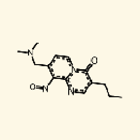 CCCc1cnc2c(N=O)c(CN(C)C)ccn2c1=O